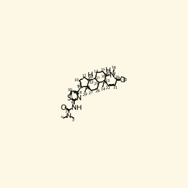 CN(C)C(=O)Nc1nc([C@H]2CC[C@H]3C4CC[C@H]5N(C)C(=O)C=C[C@]5(C)C4CC[C@]23C)cs1